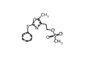 Cc1oc(Sc2ccccc2)nc1CCOS(C)(=O)=O